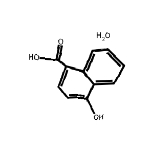 O.O=C(O)c1ccc(O)c2ccccc12